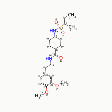 CCC(C)S(=O)(=O)NC1CCC(C(=O)NCCc2ccc(OC)c(OC)c2)CC1